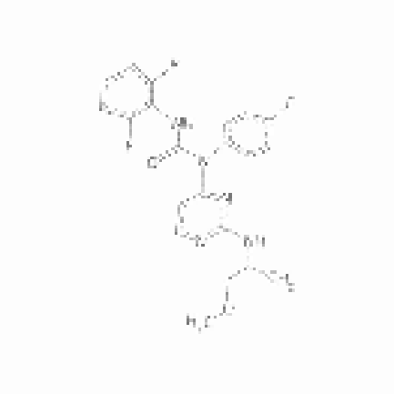 COCC(C)Nc1nccc(N(C(=O)Nc2c(F)cccc2F)c2ccc(F)cc2)n1